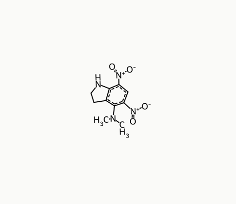 CN(C)c1c([N+](=O)[O-])cc([N+](=O)[O-])c2c1CCN2